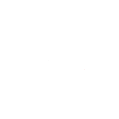 c1ccc(-c2c3ccccc3c(-c3ccc(-c4cccc5oc6c(-c7ccccc7)cccc6c45)cc3)c3ccccc23)cc1